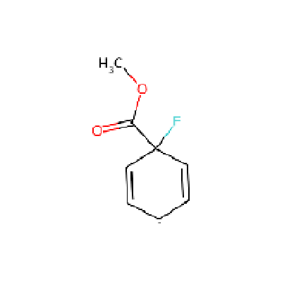 COC(=O)C1(F)C=C[CH]C=C1